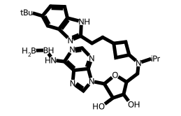 BBNc1ncnc2c1ncn2C1OC(CN(C(C)C)C2CC(CCc3nc4cc(C(C)(C)C)ccc4[nH]3)C2)C(O)C1O